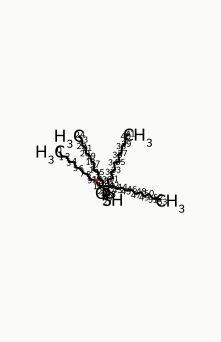 CCCCCCCCCCCCC1(CCCCCCCCCCCC)OP(S)SC1(CCCCCCCCCCCC)CCCCCCCCCCCC